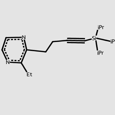 CCc1nccnc1CCC#C[Si](C(C)C)(C(C)C)C(C)C